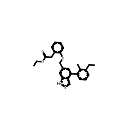 CCOC(=O)Cc1ccccc1OCc1cc(-c2cccc(CC)c2C)c2cn[nH]c2c1